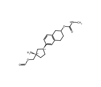 CNC(=O)OC1CCc2cc([C@H]3CC[C@](N)(COP=O)C3)ccc2C1